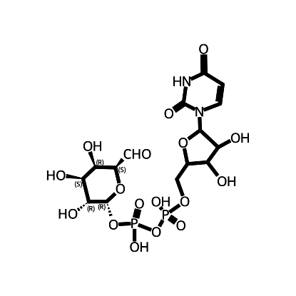 O=C[C@H]1O[C@H](OP(=O)(O)OP(=O)(O)OCC2OC(n3ccc(=O)[nH]c3=O)C(O)C2O)[C@H](O)[C@@H](O)[C@H]1O